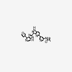 CC(C)C(=O)Nc1cncc(-c2ccc3[nH]nc(-c4nc5c(-c6ccoc6)nccc5[nH]4)c3n2)c1